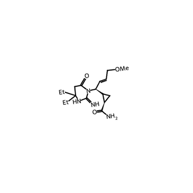 CCC1(CC)CC(=O)N([C@@H](/C=C/COC)C2C[C@H]2C(N)=O)C(=N)N1